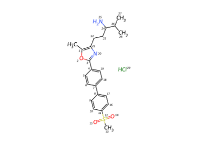 Cc1oc(-c2ccc(-c3ccc(S(C)(=O)=O)cc3)cc2)nc1CCC(N)C(C)C.Cl